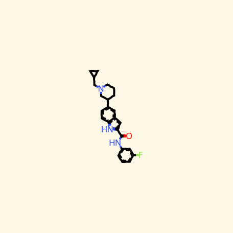 O=C(Nc1cccc(F)c1)c1cc2cc(C3CCCN(CC4CC4)C3)ccc2[nH]1